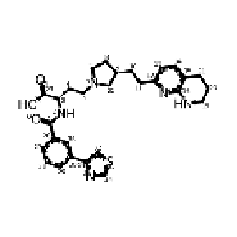 O=C(N[C@H](CCN1CC[C@@H](CCc2ccc3c(n2)NCCC3)C1)C(=O)O)c1cccc(-c2cscn2)c1